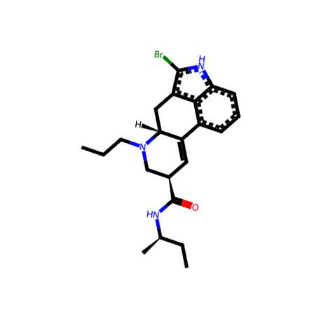 CCCN1C[C@H](C(=O)N[C@H](C)CC)C=C2c3cccc4[nH]c(Br)c(c34)C[C@H]21